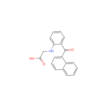 O=C(O)CNc1ccccc1C(=O)c1cccc2ccccc12